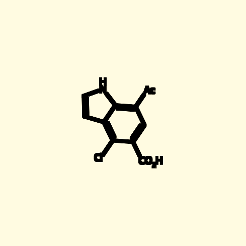 CC(=O)c1cc(C(=O)O)c(Cl)c2cc[nH]c12